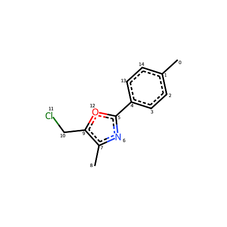 Cc1ccc(-c2nc(C)c(CCl)o2)cc1